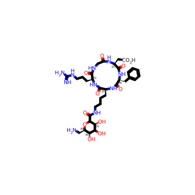 N=C(N)NCCC[C@@H]1NC(=O)[C@H](CCCCNC(=O)C2O[C@H](CN)[C@H](O)C(O)[C@@H]2O)NC(=O)[C@@H](Cc2ccccc2)NC(=O)[C@H](CC(=O)O)NC(=O)CNC1=O